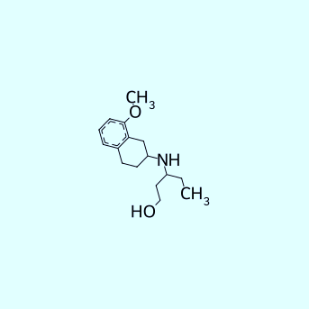 CCC(CCO)NC1CCc2cccc(OC)c2C1